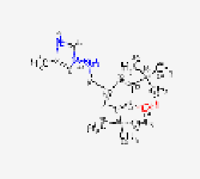 Cc1cn(NCc2cc(C(C)(C)C)c(O)c(C(C)(C)C)c2)cn1